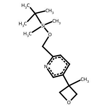 CC1(c2ccc(CO[Si](C)(C)C(C)(C)C)nc2)COC1